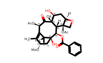 CO[C@H]1C[C@@]2(O)[C@H](OC(=O)c3ccccc3)[C@H]3[C@@]4(OC(C)=O)CO[C@@H]4C[C@H](O)[C@@]3(C)C(=O)[C@H](OC(C)=O)C(=C1C)C2(C)C